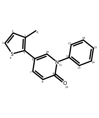 Cc1ccsc1-c1ccc(=O)n(-c2ccccc2)c1